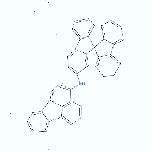 c1ccc2c(c1)-c1cccc3c(Nc4ccc5c(c4)C4(c6ccccc6-c6ccccc64)c4ccccc4-5)ccc-2c13